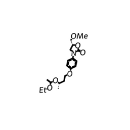 CCOC(C)O[C@@H](C)CCOc1ccc(N2C[C@H](COC)OC2=O)cc1